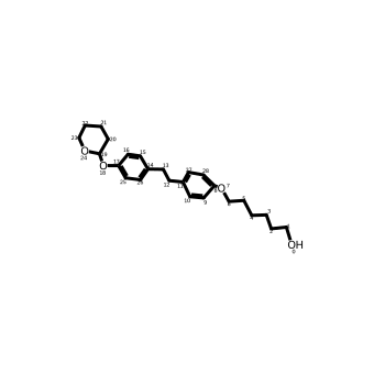 OCCCCCCOc1ccc(CCc2ccc(OC3CCCCO3)cc2)cc1